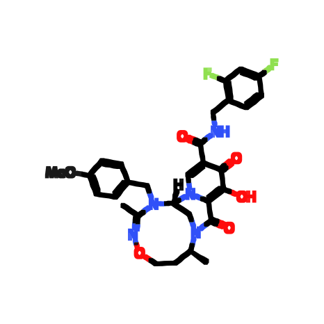 COc1ccc(CN2/C(C)=N\OCC[C@H](C)N3C[C@H]2n2cc(C(=O)NCc4ccc(F)cc4F)c(=O)c(O)c2C3=O)cc1